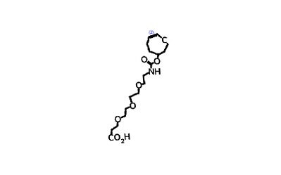 O=C(O)CCOCCOCCOCCNC(=O)OC1CC/C=C\CCC1